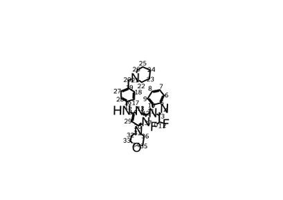 FC(F)c1nc2ccccc2n1-c1nc(Nc2ccc(CN3CCCCC3)cc2)cc(N2CCOCC2)n1